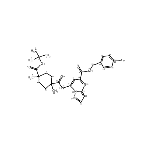 CC(C)(C)OC(=O)C1(C)CCC(C)(C(=O)Nc2cc(C(=O)NCc3ccc(F)cc3)nc3ccnn23)CC1